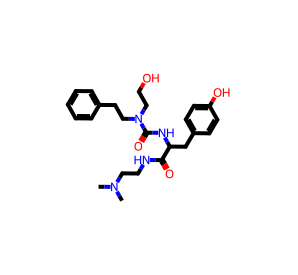 CN(C)CCNC(=O)C(Cc1ccc(O)cc1)NC(=O)N(CCO)CCc1ccccc1